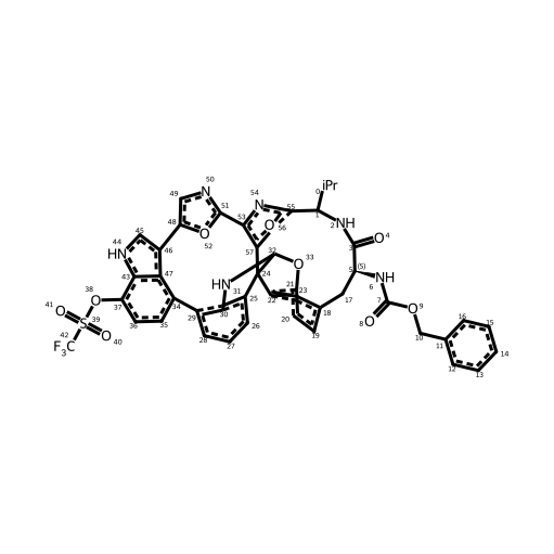 CC(C)C1NC(=O)[C@@H](NC(=O)OCc2ccccc2)Cc2ccc3c(c2)C24c5cccc(c5NC2O3)-c2ccc(OS(=O)(=O)C(F)(F)F)c3[nH]cc(c23)-c2cnc(o2)-c2nc1oc24